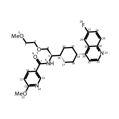 COCCOC[C@H](NC(=O)c1ccc(OC)nc1)[C@H]1CC[C@@H](c2ccnc3ccc(F)cc32)CC1